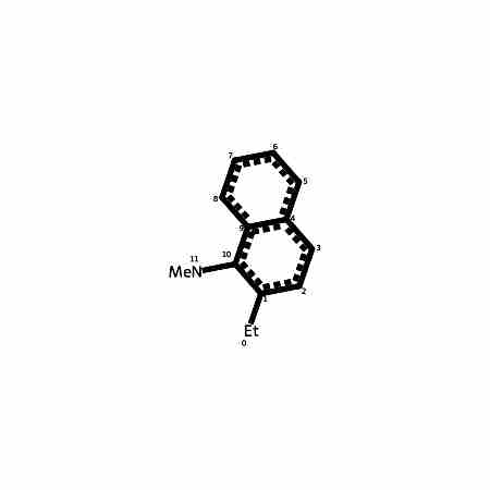 CCc1ccc2ccccc2c1NC